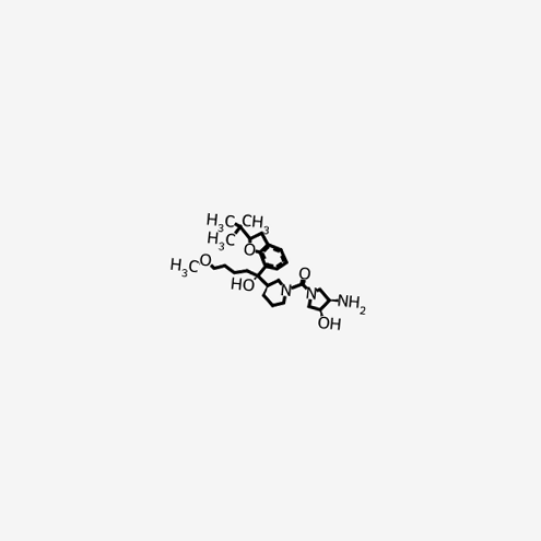 COCCCC[C@@](O)(c1cccc2c1OC(C(C)(C)C)C2)[C@@H]1CCCN(C(=O)N2C[C@@H](N)[C@@H](O)C2)C1